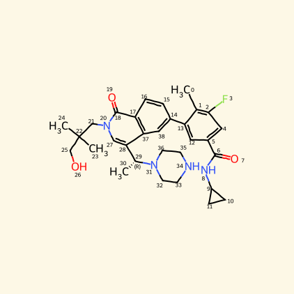 Cc1c(F)cc(C(=O)NC2CC2)cc1-c1ccc2c(=O)n(CC(C)(C)CO)cc([C@@H](C)N3CCNCC3)c2c1